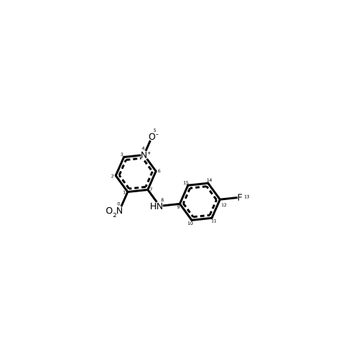 O=[N+]([O-])c1cc[n+]([O-])cc1Nc1ccc(F)cc1